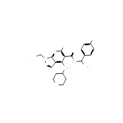 CCn1ncc2c(NC3CCOCC3)c(C(=O)NC(C)c3ccc(Cl)cc3)c(C)nc21